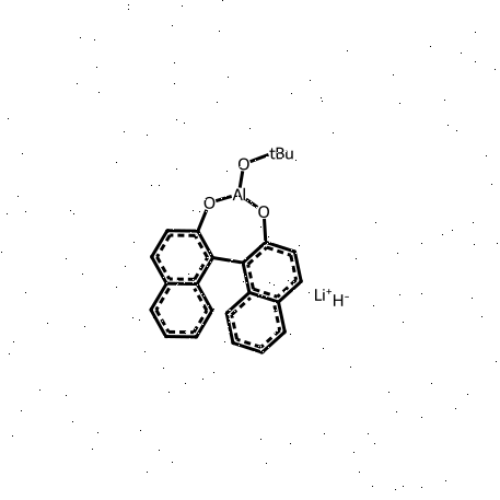 CC(C)(C)[O][Al]1[O]c2ccc3ccccc3c2-c2c(ccc3ccccc23)[O]1.[H-].[Li+]